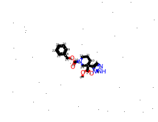 COC(=O)C1(c2cn[nH]n2)CCCN(C(=O)OCc2ccccc2)C1